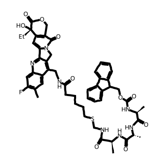 CC[C@@]1(O)C(=O)OCc2c1cc1n(c2=O)Cc2c-1nc1cc(F)c(C)cc1c2CNC(=O)CCCCCSCNC(=O)[C@H](C)NC(=O)[C@@H](C)NC(=O)[C@H](C)NC(=O)OCC1c2ccccc2-c2ccccc21